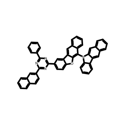 c1ccc(-c2nc(-c3ccc4ccccc4c3)nc(-c3ccc4oc5c(-n6c7ccccc7c7cc8ccccc8cc76)c6ccccc6cc5c4c3)n2)cc1